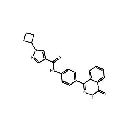 O=C(Nc1ccc(-c2n[nH]c(=O)c3ccccc23)cc1)c1cnn(C2COC2)c1